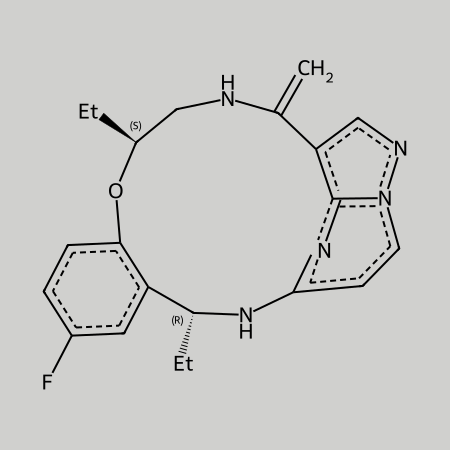 C=C1NC[C@H](CC)Oc2ccc(F)cc2[C@@H](CC)Nc2ccn3ncc1c3n2